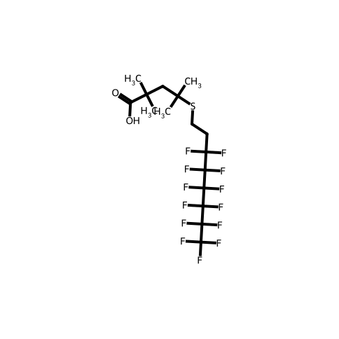 CC(C)(CC(C)(C)C(=O)O)SCCC(F)(F)C(F)(F)C(F)(F)C(F)(F)C(F)(F)C(F)(F)F